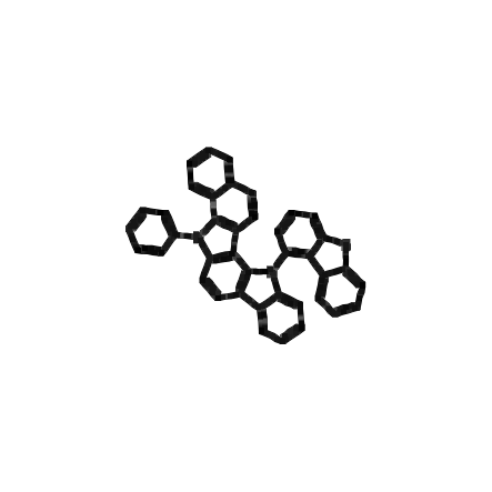 c1ccc(-n2c3ccc4c5ccccc5n(-c5cccc6sc7ccccc7c56)c4c3c3ccc4ccccc4c32)cc1